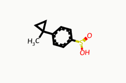 CC1(c2ccc(S(=O)O)cc2)CC1